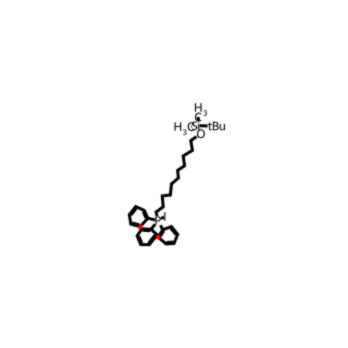 CC(C)(C)[Si](C)(C)OCCCCCCCCCCCP(I)(c1ccccc1)(c1ccccc1)c1ccccc1